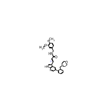 COc1ccc(CNC(=O)/C=C/c2c[nH]c3ncc(-c4ccccc4CN4CCOCC4)cc23)cc1OC